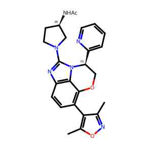 CC(=O)N[C@@H]1CCN(c2nc3ccc(-c4c(C)noc4C)c4c3n2[C@@H](c2ccccn2)CO4)C1